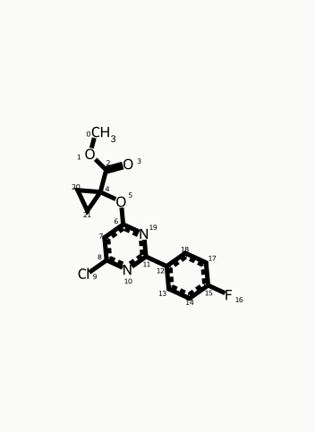 COC(=O)C1(Oc2cc(Cl)nc(-c3ccc(F)cc3)n2)CC1